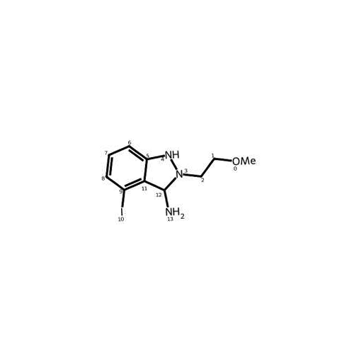 COCCN1Nc2cccc(I)c2C1N